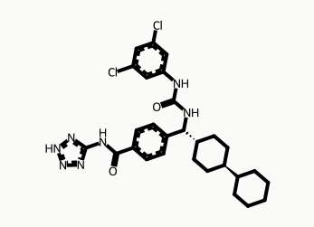 O=C(Nc1cc(Cl)cc(Cl)c1)NC(c1ccc(C(=O)Nc2nn[nH]n2)cc1)[C@H]1CC[C@H](C2CCCCC2)CC1